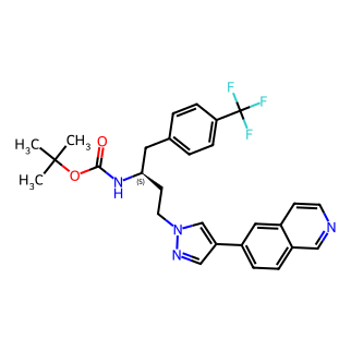 CC(C)(C)OC(=O)N[C@H](CCn1cc(-c2ccc3cnccc3c2)cn1)Cc1ccc(C(F)(F)F)cc1